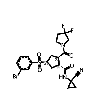 N#CC1(NC(=O)[C@@H]2C[C@@H](S(=O)(=O)c3cccc(Br)c3)C[C@H]2C(=O)N2CCC(F)(F)C2)CC1